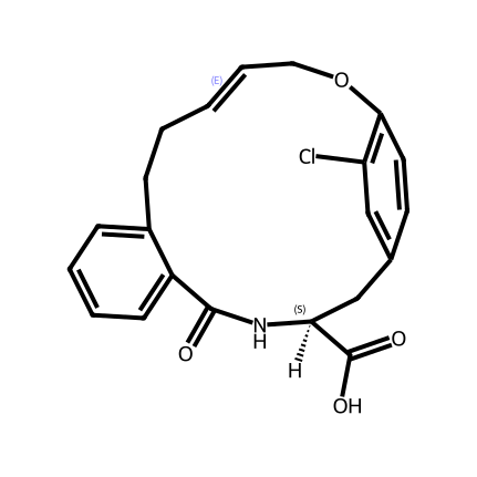 O=C1N[C@H](C(=O)O)Cc2ccc(c(Cl)c2)OC/C=C/CCc2ccccc21